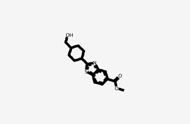 COC(=O)c1ccc2sc(C3CCC(CO)CC3)nc2c1